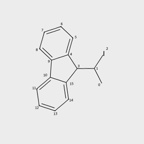 CC(I)C1c2ccccc2-c2ccccc21